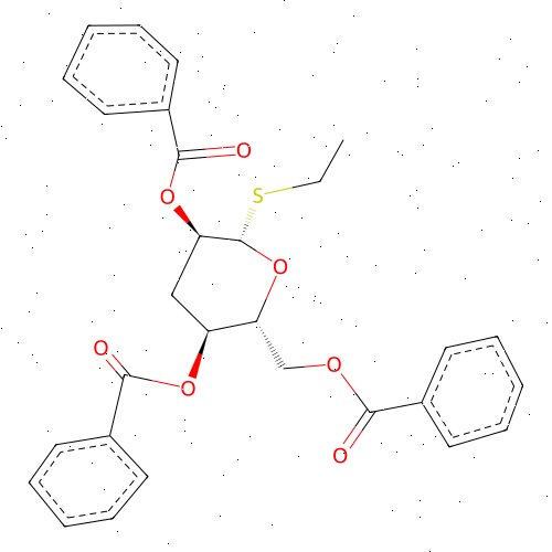 CCS[C@@H]1O[C@H](COC(=O)c2ccccc2)[C@@H](OC(=O)c2ccccc2)C[C@H]1OC(=O)c1ccccc1